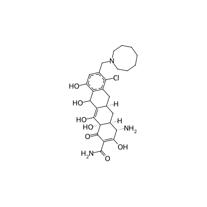 NC(=O)C1=C(O)[C@@H](N)[C@@H]2C[C@@H]3Cc4c(Cl)c(CN5CCCCCCC5)cc(O)c4C(O)C3=C(O)[C@]2(O)C1=O